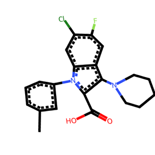 Cc1cccc(-n2c(C(=O)O)c(N3CCCCC3)c3cc(F)c(Cl)cc32)c1